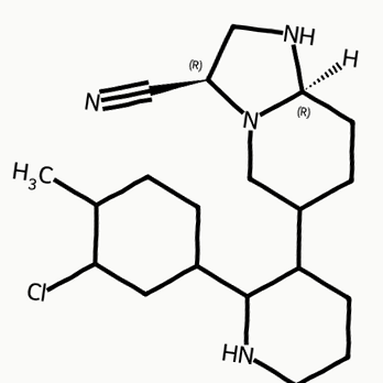 CC1CCC(C2NCCCC2C2CC[C@@H]3NC[C@H](C#N)N3C2)CC1Cl